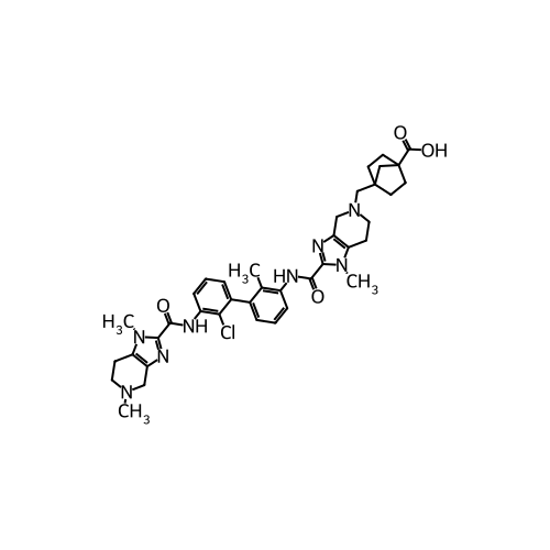 Cc1c(NC(=O)c2nc3c(n2C)CCN(CC24CCC(C(=O)O)(CC2)C4)C3)cccc1-c1cccc(NC(=O)c2nc3c(n2C)CCN(C)C3)c1Cl